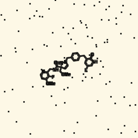 COCC1(C(=O)NCc2nccc(OC)c2F)C=CN(Cc2ccc(Cc3cc(F)c[nH]c3=O)cc2)N1